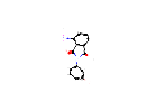 O=C1c2cccc([N+](=O)[O-])c2C(=O)N1c1cccc(O)c1